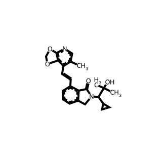 Cc1cnc2c(c1/C=C/c1cccc3c1C(=O)N(C(C1CC1)C(C)(C)O)C3)OCO2